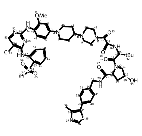 COc1cc(N2CCC(N3CCN(C(=O)C(=O)N[C@H](C(=O)N4C[C@H](O)C[C@H]4C(=O)NCc4ccc(-c5scnc5C)cc4)C(C)(C)C)CC3)CC2)ccc1Nc1ncc(Cl)c(Nc2ccccc2S(=O)(=O)C(C)C)n1